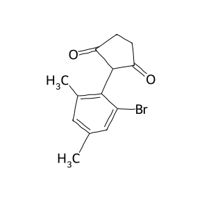 Cc1cc(C)c(C2C(=O)CCC2=O)c(Br)c1